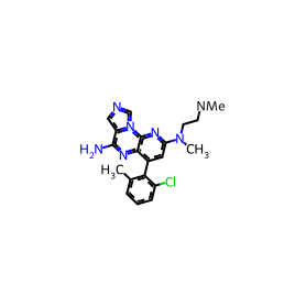 CNCCN(C)c1cc(-c2c(C)cccc2Cl)c2nc(N)c3cncn3c2n1